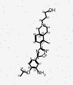 Cc1c(-c2noc(-c3ccc(OC(C)C)c(N)c3)n2)ccc2c1CCN(CCCO)C2